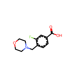 O=C(O)c1ccc(CN2CCOCC2)c(F)c1